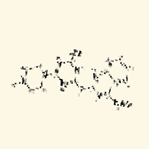 CCc1nc(Sc2nc(NC)c3ccccc3n2)nc(N2CCN(C)CC2)n1